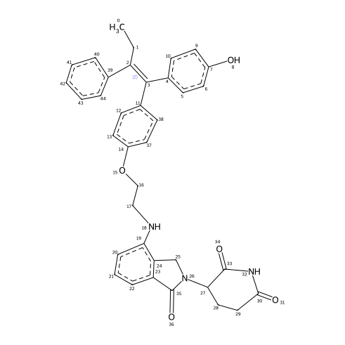 CC/C(=C(\c1ccc(O)cc1)c1ccc(OCCNc2cccc3c2CN(C2CCC(=O)NC2=O)C3=O)cc1)c1ccccc1